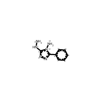 NNc1nnc(-c2ccccc2)n1N